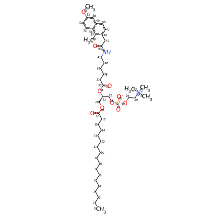 CCCCCCCCCCCCCCCCCC(=O)OC[C@H](COP(=O)([O-])OCC[N+](C)(C)C)OC(=O)CCCCCNC(=O)Cc1ccc2cc(OC)ccc2c1C